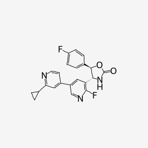 O=C1N[C@H](c2cc(-c3ccnc(C4CC4)c3)cnc2F)[C@@H](c2ccc(F)cc2)O1